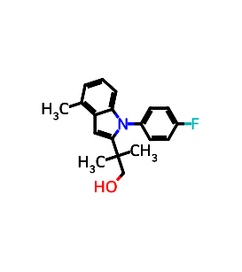 Cc1cccc2c1cc(C(C)(C)CO)n2-c1ccc(F)cc1